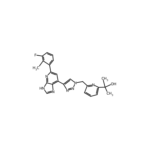 Cc1c(F)cccc1-c1cc(-c2cn(Cc3cccc(C(C)(C)O)n3)nn2)c2nc[nH]c2n1